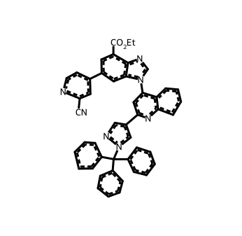 CCOC(=O)c1cc(-c2ccnc(C#N)c2)cc2c1ncn2-c1cc(-c2cnn(C(c3ccccc3)(c3ccccc3)c3ccccc3)c2)nc2ccccc12